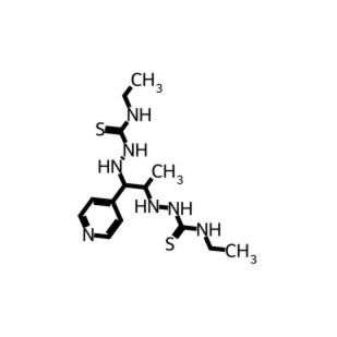 CCNC(=S)NNC(C)C(NNC(=S)NCC)c1ccncc1